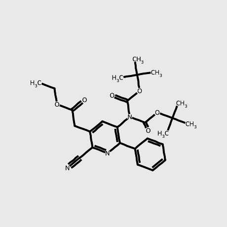 CCOC(=O)Cc1cc(N(C(=O)OC(C)(C)C)C(=O)OC(C)(C)C)c(-c2ccccc2)nc1C#N